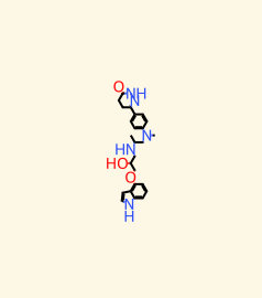 CC(CN(C)c1ccc(C2=NNC(=O)CC2)cc1)NCC(O)COc1cccc2[nH]ccc12